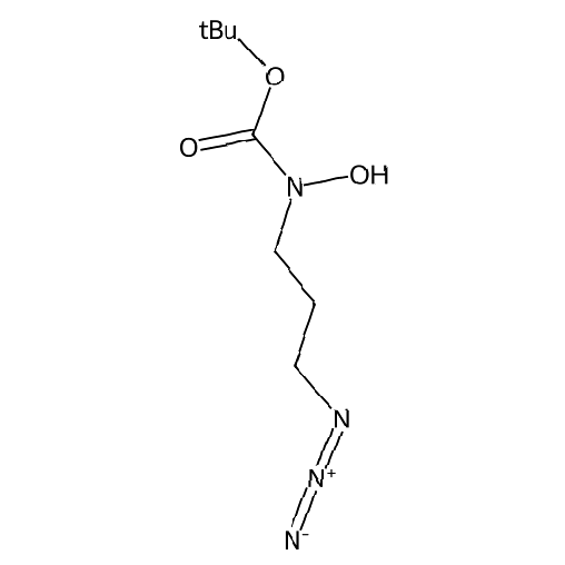 CC(C)(C)OC(=O)N(O)CCCN=[N+]=[N-]